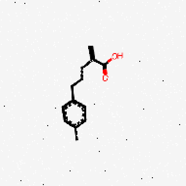 C=C(CCCc1ccc(C)cc1)C(=O)O